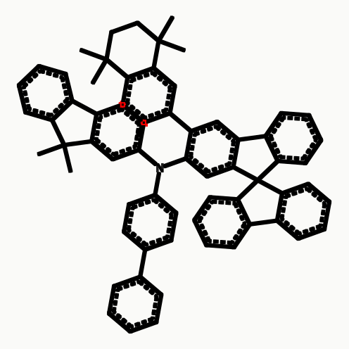 Cc1cc2c(cc1-c1cc3c(cc1N(c1ccc(-c4ccccc4)cc1)c1ccc4c(c1)C(C)(C)c1ccccc1-4)C1(c4ccccc4-c4ccccc41)c1ccccc1-3)C(C)(C)CCC2(C)C